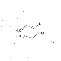 O=C(O)CC(=O)O.[Li][CH2]C=C